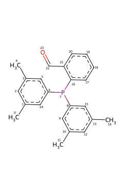 Cc1cc(C)cc(P(c2cc(C)cc(C)c2)c2ccccc2C=O)c1